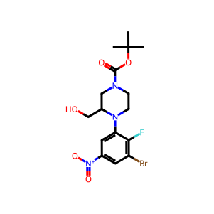 CC(C)(C)OC(=O)N1CCN(c2cc([N+](=O)[O-])cc(Br)c2F)C(CO)C1